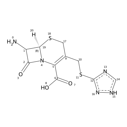 NC1C(=O)N2C(C(=O)O)=C(CSc3nc[nH]n3)CS[C@H]12